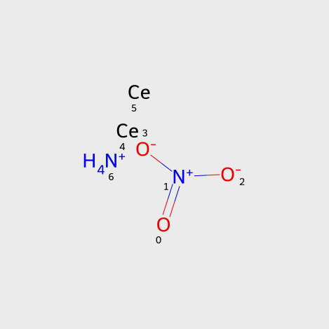 O=[N+]([O-])[O-].[Ce].[Ce].[NH4+]